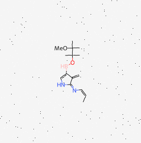 C=C1C(BOC(C)(C)C(C)(C)OC)=CN/C1=N/C=C\C